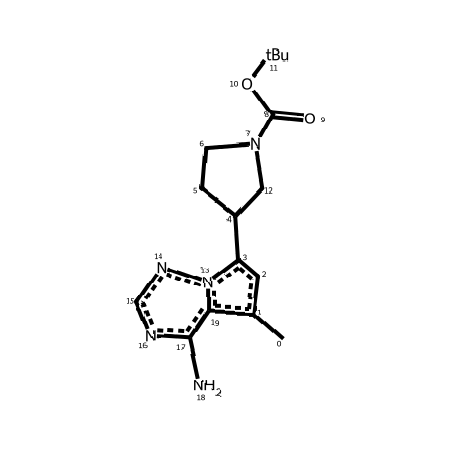 Cc1cc(C2CCN(C(=O)OC(C)(C)C)C2)n2ncnc(N)c12